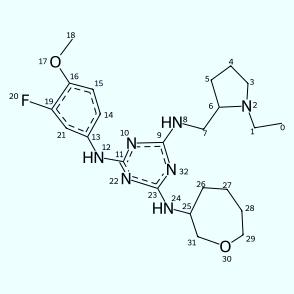 CCN1CCCC1CNc1nc(Nc2ccc(OC)c(F)c2)nc(NC2CCCCOC2)n1